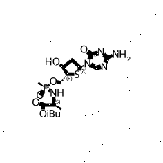 CC(C)COC(=O)[C@H](C)N[P@](C)(=O)OC[C@H]1S[C@@H](n2cnc(N)nc2=O)CC1O